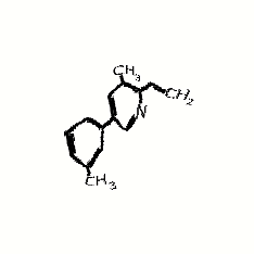 C=Cc1ncc(-c2cccc(C)c2)cc1C